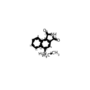 CC.Nc1cc2c(c3ccccc13)C(=O)NC2=O